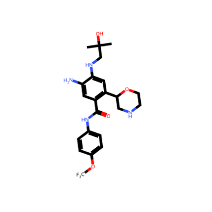 CC(C)(O)CNc1cc(C2CNCCO2)c(C(=O)Nc2ccc(OC(F)(F)F)cc2)cc1N